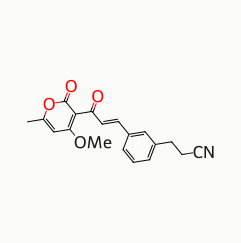 COc1cc(C)oc(=O)c1C(=O)C=Cc1cccc(CCC#N)c1